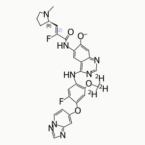 [2H]C([2H])([2H])Oc1cc(Oc2ccn3ncnc3c2)c(F)cc1Nc1ncnc2cc(OC)c(NC(=O)/C(F)=C/[C@H]3CCCN3C)cc12